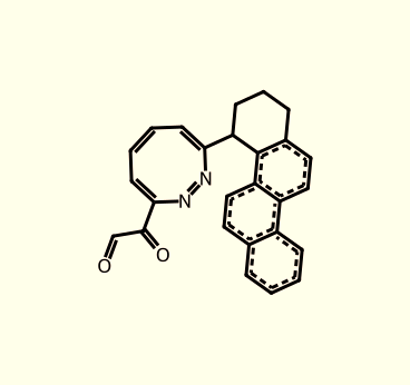 O=CC(=O)C1=CC=CC=C(C2CCCc3ccc4c(ccc5ccccc54)c32)N=N1